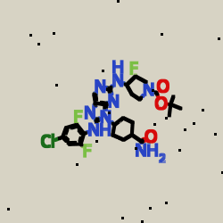 CC(C)(C)OC(=O)N1CCC(Nc2ncc3nc(Nc4c(F)cc(Cl)cc4F)n(C4CCC(C(N)=O)CC4)c3n2)C(F)C1